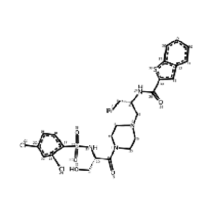 CC(C)C[C@@H](CN1CCN(C(=O)[C@H](CO)NS(=O)(=O)c2ccc(Cl)cc2Cl)CC1)NC(=O)c1cc2ccccc2s1